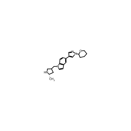 C[C@H]1CC(Cn2ccc3cc(-c4cnn(C5CCCCO5)c4)ccc32)CN1